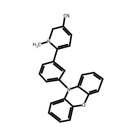 CN1CC(C#N)=CC=C1c1cccc(N2c3ccccc3Oc3ccccc32)c1